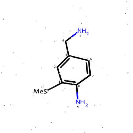 CSc1cc(CN)ccc1N